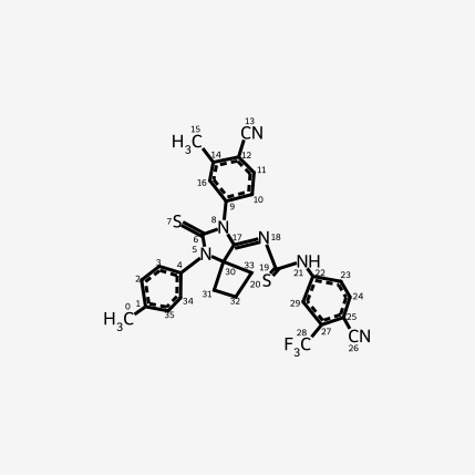 Cc1ccc(N2C(=S)N(c3ccc(C#N)c(C)c3)C(=NC(=S)Nc3ccc(C#N)c(C(F)(F)F)c3)C23CCC3)cc1